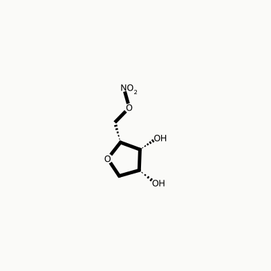 O=[N+]([O-])OC[C@H]1OC[C@@H](O)[C@H]1O